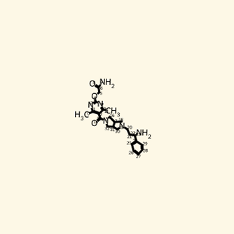 Cc1nc(OCC(N)=O)nc(C)c1C(=O)N1CC2CN(CC[C@H](N)c3ccccc3)CC2C1